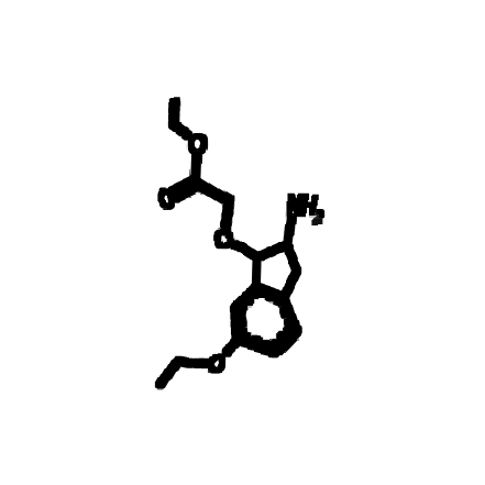 CCOC(=O)COC1c2cc(OCC)ccc2CC1N